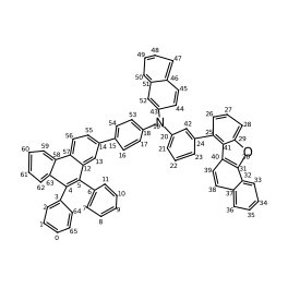 c1ccc(-c2c(-c3ccccc3)c3cc(-c4ccc(N(c5cccc(-c6cccc7oc8c9ccccc9ccc8c67)c5)c5ccc6ccccc6c5)cc4)ccc3c3ccccc23)cc1